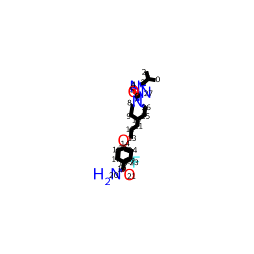 CC(C)c1noc(N2CCC(CCCOc3ccc(C(N)=O)c(F)c3)CC2)n1